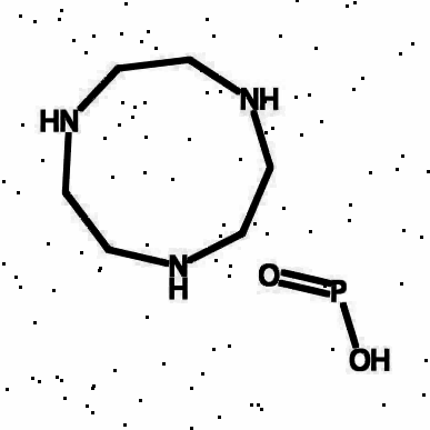 C1CNCCNCCN1.O=PO